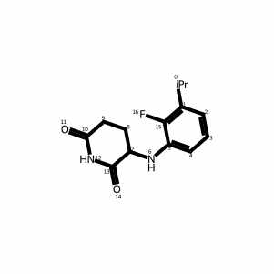 CC(C)c1cccc(NC2CCC(=O)NC2=O)c1F